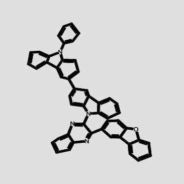 c1ccc(-n2c3ccccc3c3cc(-c4ccc5c(c4)c4ccccc4n5-c4nc5ccccc5nc4-c4ccc5oc6ccccc6c5c4)ccc32)cc1